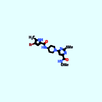 CONC(=O)c1cc(N2CCC(NC(=O)c3cc(Br)c(C)[nH]3)CC2)nc(SC)n1